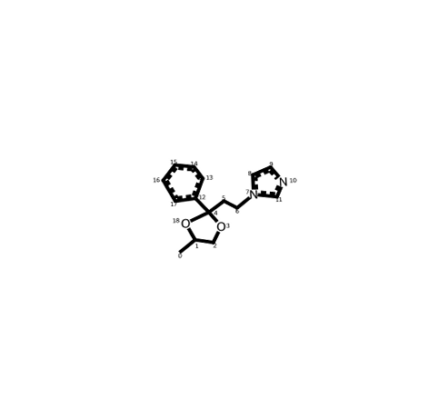 CC1COC(CCn2ccnc2)(c2ccccc2)O1